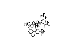 COc1ccc(CC(=O)O)cc1-c1ccc(C(F)(F)F)cc1CN1C(=O)O[C@H](c2cc(C(F)(F)F)cc(C(F)(F)F)c2)[C@@H]1C